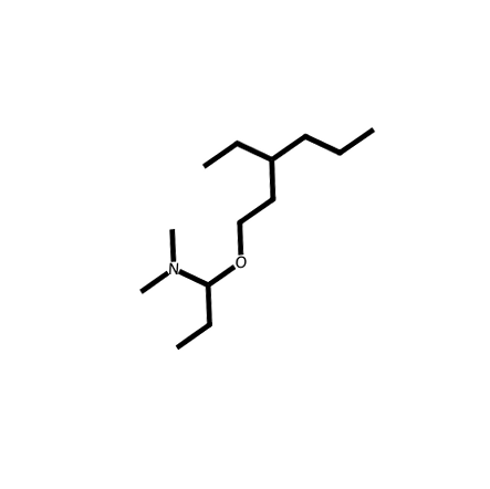 CCCC(CC)CCOC(CC)N(C)C